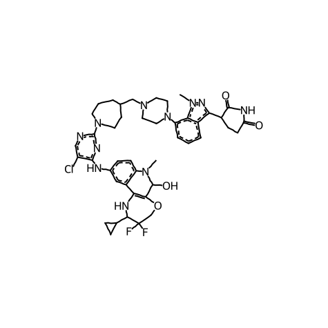 CN1c2ccc(Nc3nc(N4CCCC(CN5CCN(c6cccc7c(C8CCC(=O)NC8=O)nn(C)c67)CC5)CC4)ncc3Cl)cc2C2=C(OCC(F)(F)C(C3CC3)N2)C1O